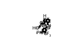 CC(C)Oc1ccc(-c2nc(-c3cccc4[nH]cc(CC(=O)NCCO)c34)no2)cc1C(F)(F)F